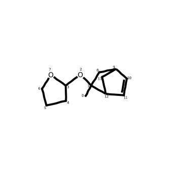 CC1(OC2CCCO2)CC2C=CC1C2